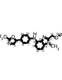 Cc1ncc(-c2ccc(Nc3cccc4c3nc(COC(C)C)n4C)cc2)o1